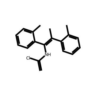 C=C(Cl)N/C(=C(/C)c1ccccc1C)c1ccccc1C